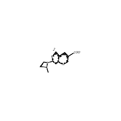 CC1CCN1c1cc2ncc(C(=O)[O-])cc2cn1.[Li+]